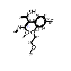 C=N/C(OC)=C(\C(=C)S)c1ccc(F)cc1OCCOC